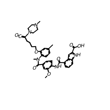 COc1cc(C(=O)N(C)c2ccc(C)cc2OCCCCC(=C=O)N2CCN(C)CC2)ccc1NC(=O)c1cccc2[nH]c(C(=O)O)cc12